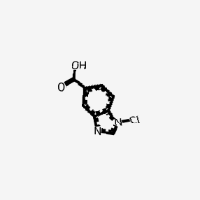 O=C(O)c1ccc2c(c1)ncn2Cl